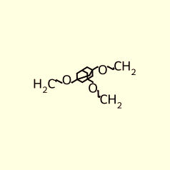 C=CCOCC12CC3CC(COCC=C)(C1)CC(COCC=C)(C3)C2